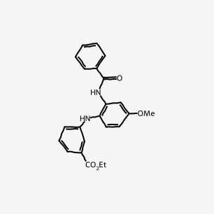 CCOC(=O)c1cccc(Nc2ccc(OC)cc2NC(=O)c2ccccc2)c1